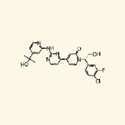 CC(C)(O)c1ccnc(Nc2nccc(-c3ccn([C@H](CO)c4ccc(Cl)c(F)c4)c(=O)c3)n2)c1